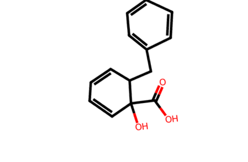 O=C(O)C1(O)C=CC=CC1Cc1ccccc1